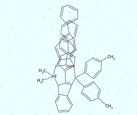 Cc1ccc(C2(c3ccc(C)cc3)C3=C(c4ccc(-c5ccccc5)cc4)[CH](c4ccccc43)[Hf]([CH3])([CH3])[CH]3C(c4ccc(-c5ccccc5)cc4)=C2c2ccccc23)cc1